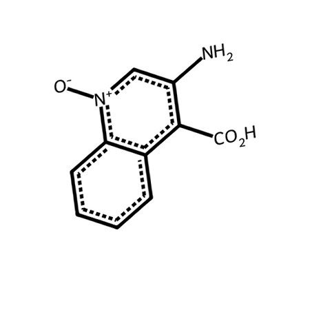 Nc1c[n+]([O-])c2ccccc2c1C(=O)O